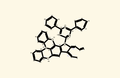 C=C/C=c1\c(=C/C)c2cc3c4c(c2n1-c1nc(-c2ccccc2)nc(-c2ccccc2)n1)Oc1ccccc1N4c1ccccc1O3